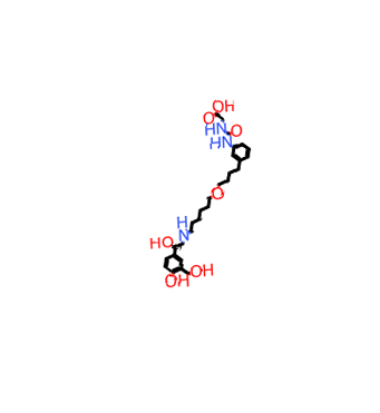 O=C(O)CNC(=O)Nc1cccc(CCCCOCCCCCCNC[C@@H](O)c2ccc(O)c(CO)c2)c1